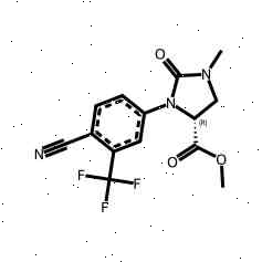 COC(=O)[C@H]1CN(C)C(=O)N1c1ccc(C#N)c(C(F)(F)F)c1